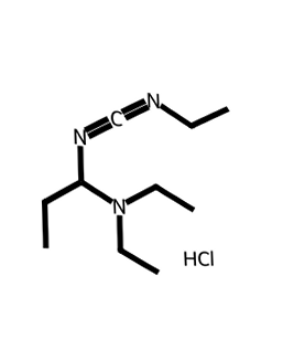 CCN=C=NC(CC)N(CC)CC.Cl